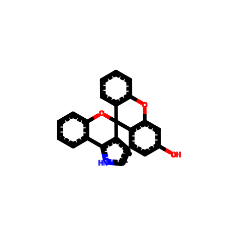 Oc1ccc2c(c1)Oc1ccccc1C21Oc2ccccc2-c2[nH]c3ccccc3c21